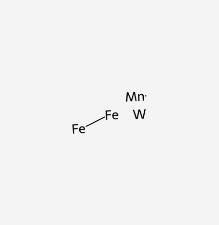 [Fe][Fe].[Mn].[W]